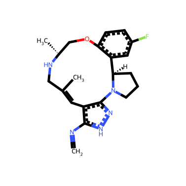 C=Nc1[nH]nc2c1/C=C(\C)CN[C@H](C)COc1ccc(F)cc1[C@H]1CCCN21